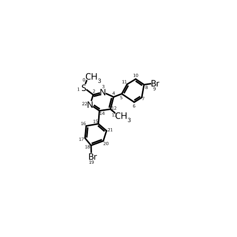 CSc1nc(-c2ccc(Br)cc2)c(C)c(-c2ccc(Br)cc2)n1